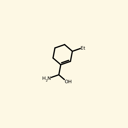 CCC1C=C(C(N)O)CCC1